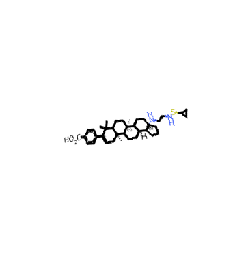 CC1(C)C(c2ccc(C(=O)O)cc2)=CC[C@@]2(C)C1CC[C@@]1(C)C3CC[C@@]4(NCCNSC5CC5)CCCC4[C@H]3CCC12